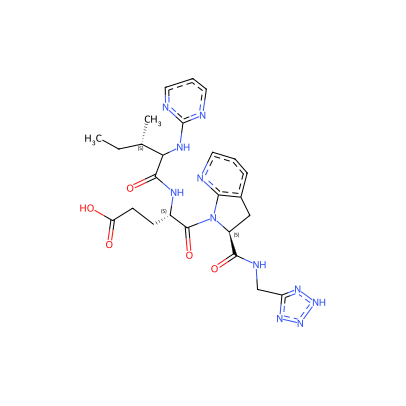 CC[C@H](C)C(Nc1ncccn1)C(=O)N[C@@H](CCC(=O)O)C(=O)N1c2ncccc2C[C@H]1C(=O)NCc1nn[nH]n1